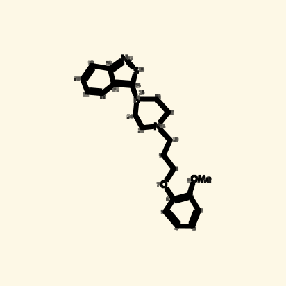 COc1ccc[c]c1OCCCN1CCN(c2snc3ccccc23)CC1